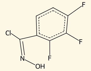 O/N=C(/Cl)c1ccc(F)c(F)c1F